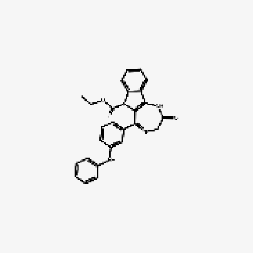 CCOC(=O)n1c2c(c3ccccc31)NC(=O)CN=C2c1cccc(Nc2ccccc2)c1